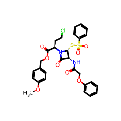 COc1ccc(COC(=O)[C@@H](CCCl)N2C(=O)[C@@H](NC(=O)COc3ccccc3)[C@H]2SS(=O)(=O)c2ccccc2)cc1